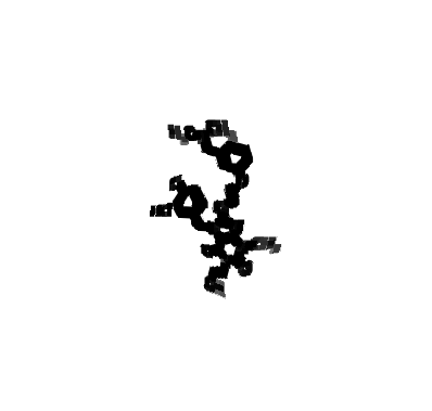 CN(C)Cc1cccc(OCCOc2nc3c(c(=O)n(CCO)c(=O)n3C)n2Cc2ccc(Cl)cc2)c1.Cl